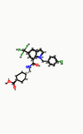 COC(=O)[C@H]1CC[C@H](CNC(=O)c2cc(C(F)(F)F)cc3ccn(Cc4ccc(Cl)cc4)c23)CC1